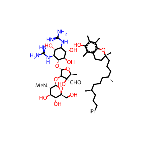 CN[C@@H]1[C@H](O[C@H]2[C@H](O[C@H]3[C@H](O)[C@@H](O)[C@H](NC(=N)N)[C@@H](O)[C@@H]3NC(=N)N)O[C@@H](C)[C@]2(O)C=O)O[C@@H](CO)[C@H](O)[C@H]1O.Cc1c(C)c2c(c(C)c1O)CC[C@@](C)(CCC[C@H](C)CCC[C@H](C)CCCC(C)C)O2